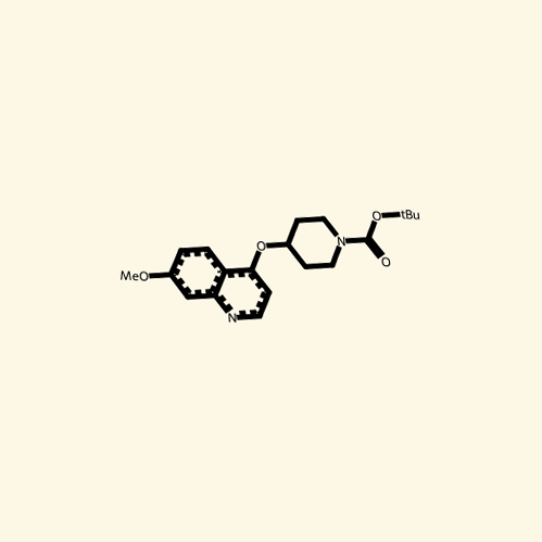 COc1ccc2c(OC3CCN(C(=O)OC(C)(C)C)CC3)ccnc2c1